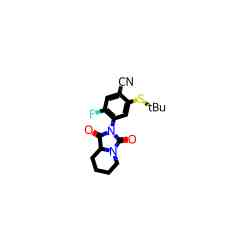 CC(C)(C)Sc1cc(N2C(=O)C3CCCCN3C2=O)c(F)cc1C#N